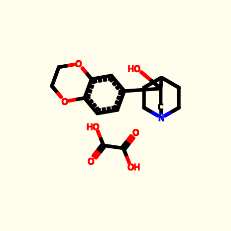 O=C(O)C(=O)O.OC1(c2ccc3c(c2)OCCO3)CN2CCC1CC2